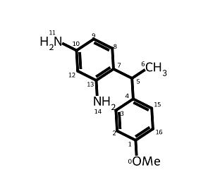 COc1ccc(C(C)c2ccc(N)cc2N)cc1